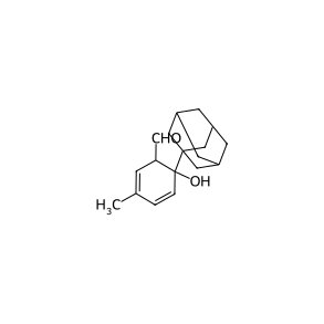 CC1=CC(C=O)C(O)(C23CC4CC(CC(C4)C2)C3)C=C1